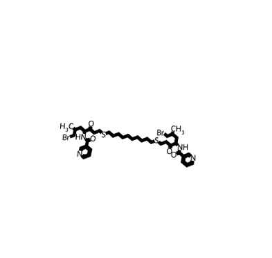 CC(CBr)CC(NC(=O)c1cccnc1)C(=O)CCSCCCCCCCCCCSCCC(=O)C(CC(C)CBr)NC(=O)c1cccnc1